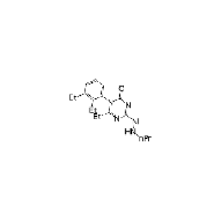 CCCNNc1nc(CC)n(-c2cccc(CC)c2CC)c(=O)n1